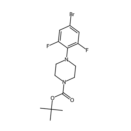 CC(C)(C)OC(=O)N1CCN(c2c(F)cc(Br)cc2F)CC1